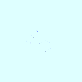 Nc1ccsc1-c1ccc(Cl)cc1